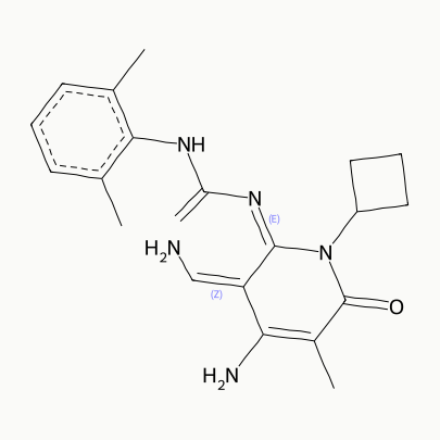 C=C(/N=C1\C(=C/N)C(N)=C(C)C(=O)N1C1CCC1)Nc1c(C)cccc1C